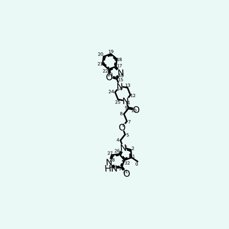 Cc1cn(CCOCCC(=O)N2CCN(c3nc4ccccc4o3)CC2)c2cn[nH]c(=O)c12